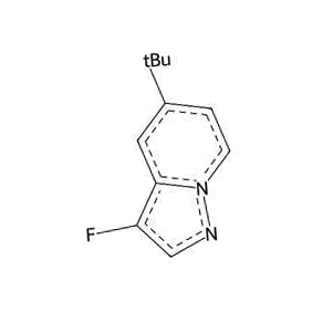 CC(C)(C)c1ccn2ncc(F)c2c1